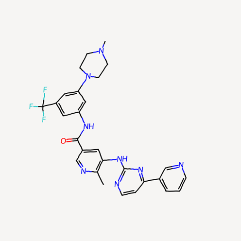 Cc1ncc(C(=O)Nc2cc(N3CCN(C)CC3)cc(C(F)(F)F)c2)cc1Nc1nccc(-c2cccnc2)n1